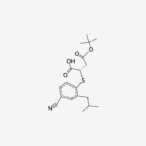 CC(C)Cc1cc(C#N)ccc1S[C@@H](CC(=O)OC(C)(C)C)C(=O)O